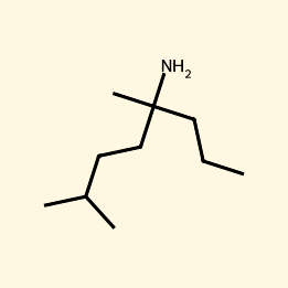 CCCC(C)(N)CCC(C)C